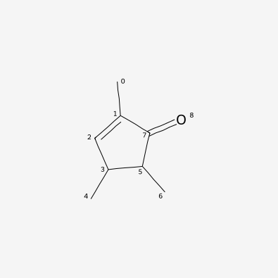 CC1=CC(C)C(C)C1=O